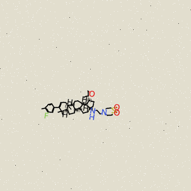 Cc1ccc(C2=CC[C@]3(C)[C@H]4CC[C@@H]5[C@H]6[C@H](C7(C)CO7)CC[C@]6(NCCN6CCS(=O)(=O)CC6)CC[C@@]5(C)[C@]4(C)CC[C@H]3C2(C)C)cc1F